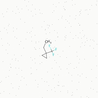 CCC1(C(F)(F)F)CC1